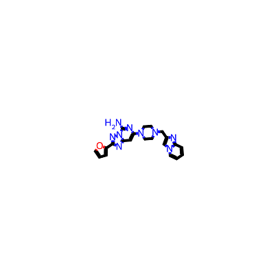 Nc1nc(N2CCN(Cc3cn4ccccc4n3)CC2)cc2nc(-c3ccco3)nn12